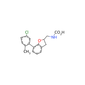 Cc1ccc(Cl)cc1-c1cccc2c1OC(CNC(=O)O)C2